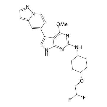 COc1nc(N[C@H]2CC[C@@H](OCC(F)F)CC2)nc2[nH]cc(-c3ccn4nccc4c3)c12